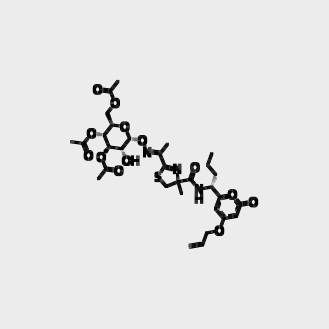 C=CCOc1cc([C@@H](CCC)NC(=O)C2(C)CSC(/C(C)=N/O[C@H]3O[C@H](COC(C)=O)[C@@H](OC(C)=O)[C@H](OC(C)=O)[C@H]3O)=N2)oc(=O)c1